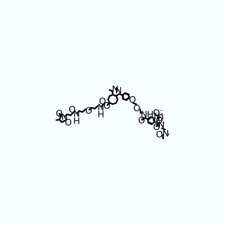 CC(=O)N(C)CCN(C)S(=O)(=O)c1ccc(C(=O)NCCOCCOc2ccc(C3=NN=C(C)C4CCC(OC(=O)NCCCOCCCNC(=O)CCN5C(=O)CC(C)C5=O)CCCC34)cc2)cc1[N+](=O)[O-]